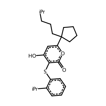 CC(C)CCCC1(c2cc(O)c(Sc3ccccc3C(C)C)c(=O)o2)CCCC1